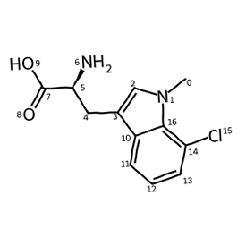 Cn1cc(C[C@H](N)C(=O)O)c2cccc(Cl)c21